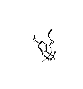 CCOCOC(c1ccc(SC)cc1)(C(F)(F)F)C(F)(F)F